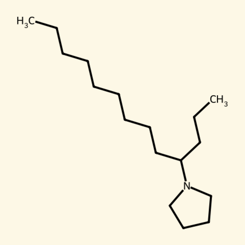 CCCCCCCCCC(CCC)N1CCCC1